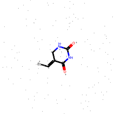 CCC=C1CNC(=O)NC1=O